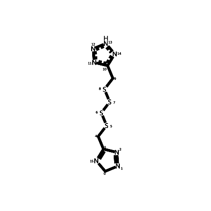 C1N=NC(CSSSSCc2nn[nH]n2)=N1